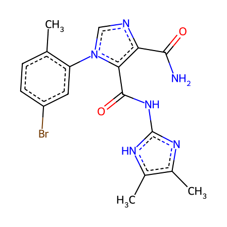 Cc1ccc(Br)cc1-n1cnc(C(N)=O)c1C(=O)Nc1nc(C)c(C)[nH]1